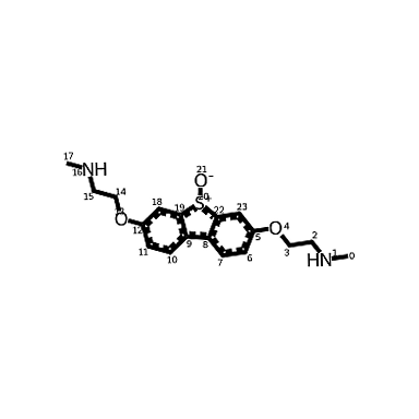 CNCCOc1ccc2c3ccc(OCCNC)cc3[s+]([O-])c2c1